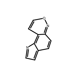 c1cc2ccc3noccc3c2n1